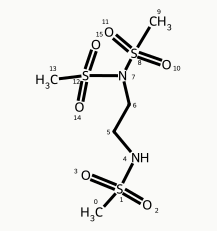 CS(=O)(=O)NCCN(S(C)(=O)=O)S(C)(=O)=O